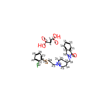 O=C(O)C=CC(=O)O.O=C1c2ccccc2CN1CC1CCN(CCSc2ccccc2F)CC1